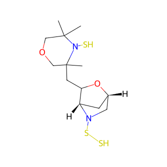 CC1(C)COCC(C)(CC2O[C@H]3C[C@@H]2N(SS)C3)N1S